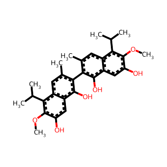 COc1c(O)cc2c(O)c(-c3c(C)cc4c(C(C)C)c(OC)c(O)cc4c3O)c(C)cc2c1C(C)C